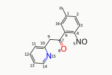 Cc1ccc(N=O)c(C(=O)Cc2ccccn2)c1